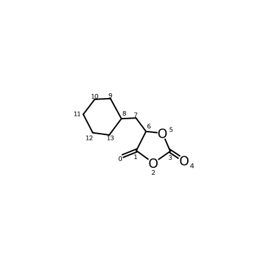 C=C1OC(=O)OC1CC1CCCCC1